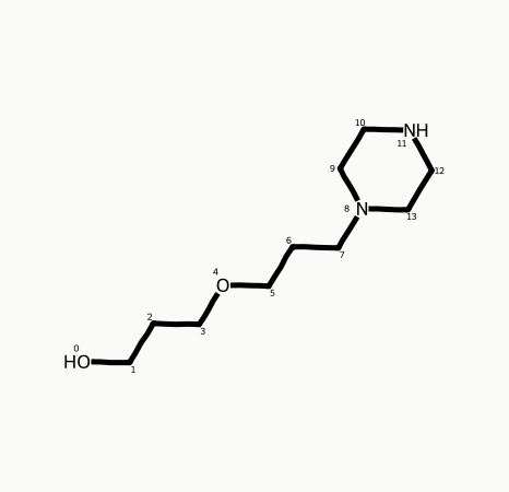 OCCCOCCCN1CCNCC1